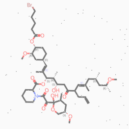 C=CCC(/C=C(\C)C[C@H](C)C[C@@H](C)OC)C(=O)C[C@H](O)[C@@H](C)[C@H](OC(=O)C1CCCCN1C(=O)C(=O)C1(O)OC[C@@H](OC)CC1C)/C(C)=C/[C@@H]1CC[C@@H](OC(=O)CCCCBr)[C@H](OC)C1